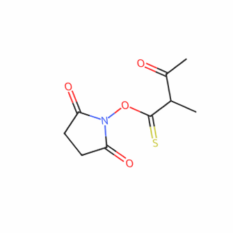 CC(=O)C(C)C(=S)ON1C(=O)CCC1=O